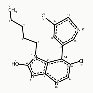 CCCCCn1c(O)nc2ncc(Cl)c(-c3cncc(Cl)c3)c21